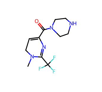 CN1CC=C(C(=O)N2CCNCC2)N=C1C(F)(F)F